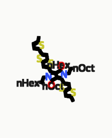 CCCCCCCCC(CCCCCC)CN1C(=O)C2=C(c3cc4sc(-c5ccc(C)s5)cc4s3)N(CC(CCCCCC)CCCCCCCC)C(=O)C2=C1c1cc2sc(C)cc2s1